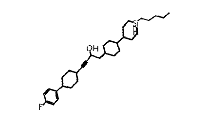 CCCCC[SiH]1CCC(C2CCC(CC(O)C#CC3CCC(c4ccc(F)cc4)CC3)CC2)CC1